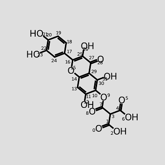 O=C(O)C(C(=O)O)C(=O)Oc1c(O)cc2oc(-c3ccc(O)c(O)c3)c(O)c(=O)c2c1O